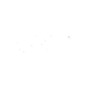 CC(C)Cc1ccc2sc3c(c2c1)C(C)(C)c1cccc(B2OC(C)(C)C(C)(C)O2)c1-3